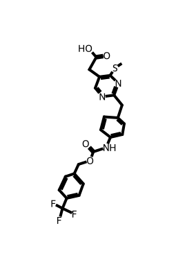 CSc1nc(Cc2ccc(NC(=O)OCc3ccc(C(F)(F)F)cc3)cc2)ncc1CC(=O)O